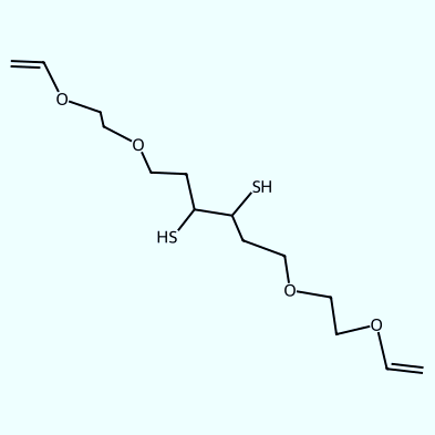 C=COCCOCCC(S)C(S)CCOCCOC=C